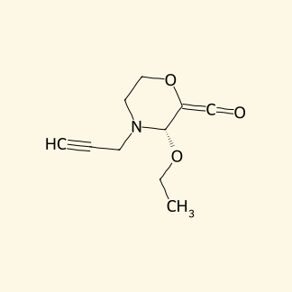 C#CCN1CCOC(=C=O)[C@@H]1OCC